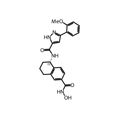 COc1ccccc1-c1cc(C(=O)N[C@H]2CCCc3cc(C(=O)NO)ccc32)[nH]n1